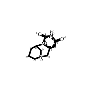 O=c1cc2n(c(=O)[nH]1)C1CCCN(C2)C1